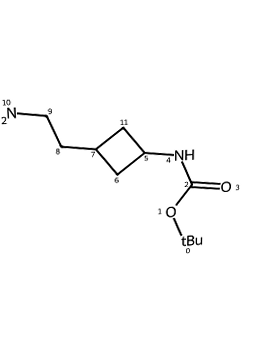 CC(C)(C)OC(=O)NC1CC(CCN)C1